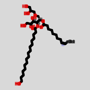 CCCCCCCC/C=C\CCCCCCCC(=O)O[C@@H](COCC(O)CO)[C@@H](OC(=O)CCCCCCCCCCCCCCCCCO)[C@H](O)[C@H](O)CO